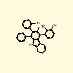 CCCc1ccccc1-c1c(C)c(-c2cccc(C#N)c2C#N)c2c3c([nH]c2c1-c1ccccc1)CCC=C3